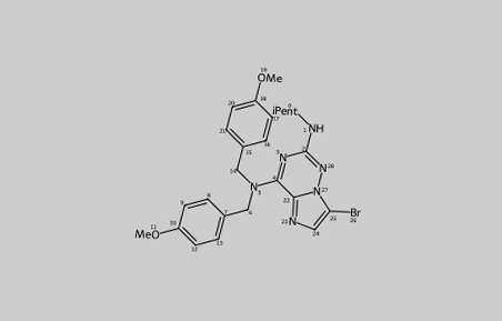 CCCC(C)Nc1nc(N(Cc2ccc(OC)cc2)Cc2ccc(OC)cc2)c2ncc(Br)n2n1